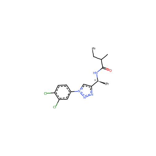 CC(C)CC(C)C(=O)N[C@H](c1cn(-c2ccc(Cl)c(Cl)c2)nn1)C(C)C